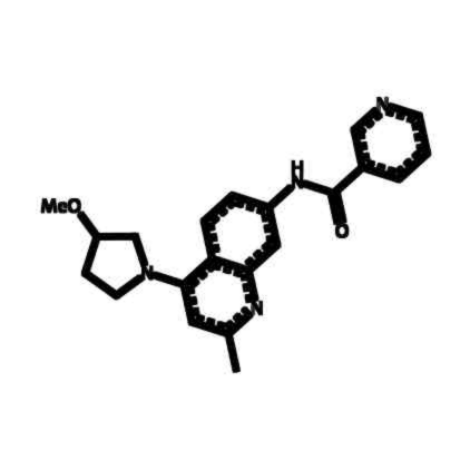 COC1CCN(c2cc(C)nc3cc(NC(=O)c4cccnc4)ccc23)C1